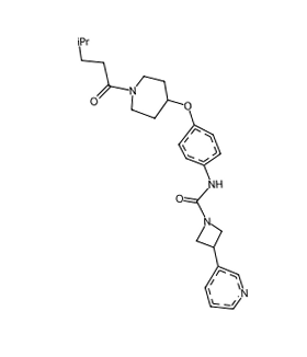 CC(C)CCC(=O)N1CCC(Oc2ccc(NC(=O)N3CC(c4cccnc4)C3)cc2)CC1